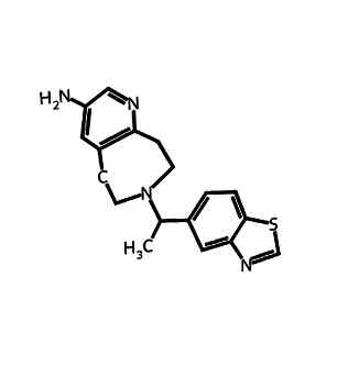 CC(c1ccc2scnc2c1)N1CCc2cc(N)cnc2CC1